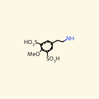 COc1c(S(=O)(=O)O)cc(CC[NH])cc1S(=O)(=O)O